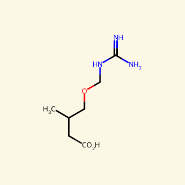 CC(COCNC(=N)N)CC(=O)O